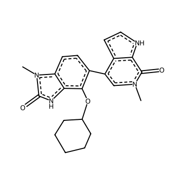 Cn1cc(-c2ccc3c([nH]c(=O)n3C)c2OC2CCCCC2)c2cc[nH]c2c1=O